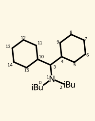 CCC(C)N(C(C)CC)C(C1CCCCC1)C1CCCCC1